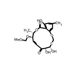 COCO[C@@H]1/C=C\C(=O)[C@@H](O)[C@@H](O)CCOc2cc(C)cc(O)c2C(=O)O[C@H]1C